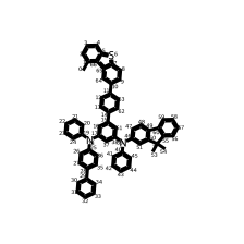 Cc1cccc2sc3ccc(-c4ccc(-c5cc(N(c6ccccc6)c6ccc(-c7ccccc7)cc6)cc(N(c6ccccc6)c6ccc7c(c6)C(C)(C)c6ccccc6-7)c5)cc4)cc3c12